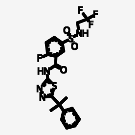 CC(C)(c1ccccc1)c1nnc(NC(=O)c2cc(S(=O)(=O)NCC(F)(F)F)ccc2F)s1